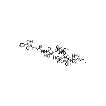 CC(C)(COP(=O)(O)OP(=O)(O)OC[C@H]1O[C@@H](n2cnc3c(N)ncnc32)[C@H](O)[C@@H]1OP(=O)(O)O)[C@@H](O)C(=O)NCCC(=O)NCCSC(=O)[C@H](O)c1ccccc1